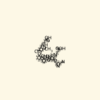 COc1cc(COc2cccc(-c3cccc(COc4cc(OCc5cncc(C#N)c5)c(CNCCCC(=O)O)cc4Cl)c3C)c2C)c(Cl)cc1CNCCCC(=O)O